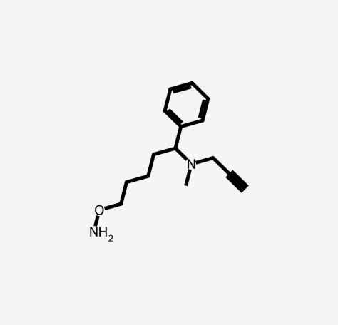 C#CCN(C)C(CCCCON)c1ccccc1